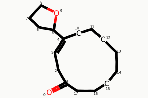 O=C1CC=C(C2CCCO2)CCCCCCCC1